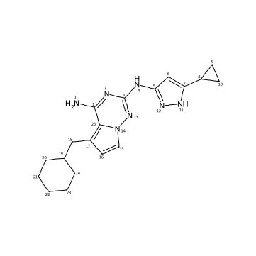 Nc1nc(Nc2cc(C3CC3)[nH]n2)nn2ccc(CC3CCCCC3)c12